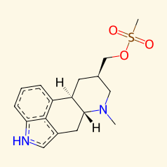 CN1C[C@H](COS(C)(=O)=O)C[C@@H]2c3cccc4[nH]cc(c34)C[C@H]21